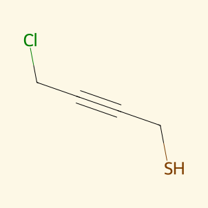 SCC#CCCl